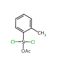 CC(=O)O[Si](Cl)(Cl)c1ccccc1C